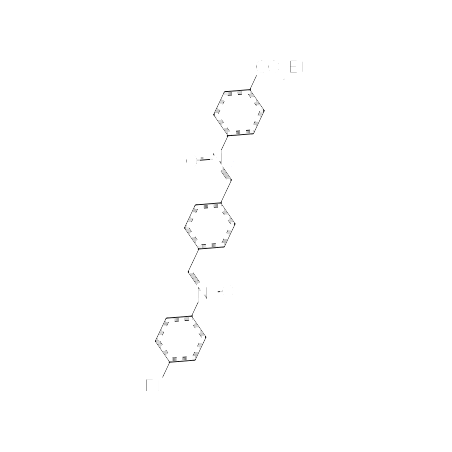 CCOC(=O)c1ccc(/[N+]([O-])=C/c2ccc(/C=[N+](\[O-])c3ccc(CC)cc3)cc2)cc1